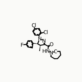 C[C@@H]1C(C(=O)NN2CCCCCC2)=NN(c2ccc(Cl)cc2Cl)[C@@H]1c1ccc(F)cc1